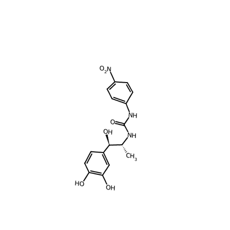 C[C@@H](NC(=O)Nc1ccc([N+](=O)[O-])cc1)[C@H](O)c1ccc(O)c(O)c1